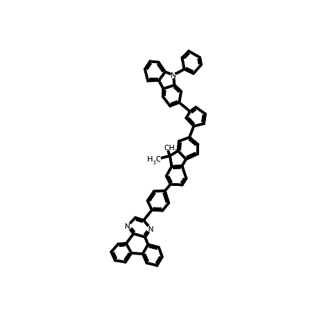 CC1(C)c2cc(-c3ccc(-c4cnc5c6ccccc6c6ccccc6c5n4)cc3)ccc2-c2ccc(-c3cccc(-c4ccc5c6ccccc6n(-c6ccccc6)c5c4)c3)cc21